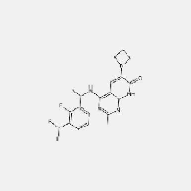 Cc1nc(NC(C)c2cccc(C(F)F)c2F)c2cc(N3CCC3)c(=O)[nH]c2n1